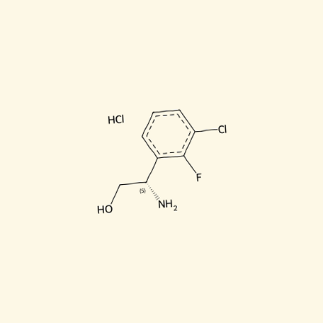 Cl.N[C@H](CO)c1cccc(Cl)c1F